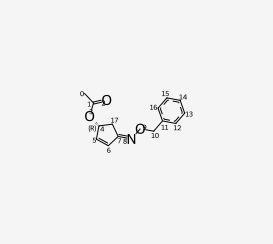 CC(=O)O[C@H]1C=CC(=NOCc2ccccc2)C1